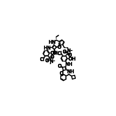 CC[C@@H](Nc1c(Nc2ccc(Cl)c(S(=O)(=O)N(C)C)c2O)c(=O)c1=O)c1ccc(CCN(C)S(=O)(=O)c2c(Cl)ccc(Nc3c(N[C@@H](c4ccccc4)C4CCC4)c(=O)c3=O)c2O)s1